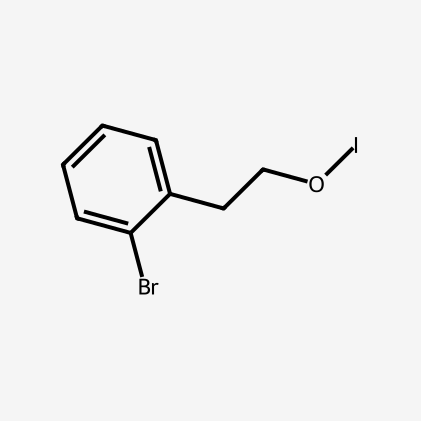 Brc1ccccc1CCOI